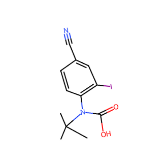 CC(C)(C)N(C(=O)O)c1ccc(C#N)cc1I